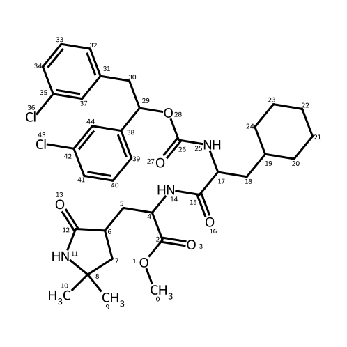 COC(=O)C(CC1CC(C)(C)NC1=O)NC(=O)C(CC1CCCCC1)NC(=O)OC(Cc1cccc(Cl)c1)c1cccc(Cl)c1